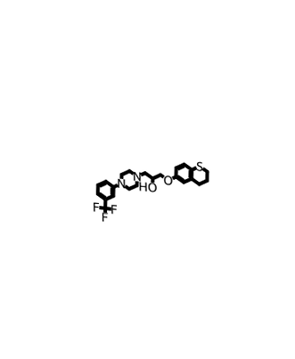 OC(COc1ccc2c(c1)CCCS2)CN1CCN(c2cccc(C(F)(F)F)c2)CC1